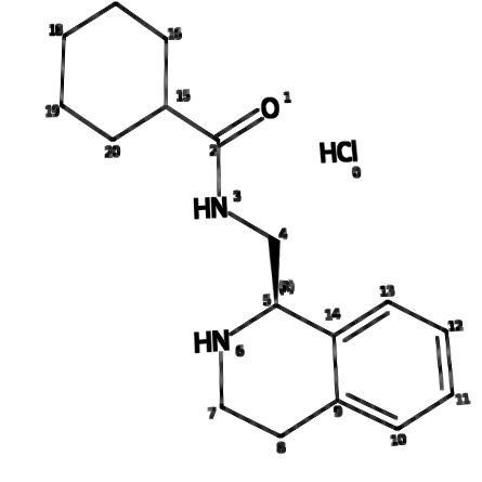 Cl.O=C(NC[C@@H]1NCCc2ccccc21)C1CCCCC1